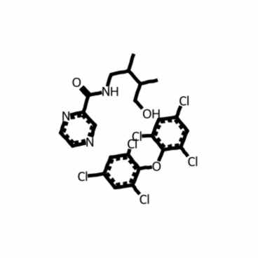 CC(CO)C(C)CNC(=O)c1cnccn1.Clc1cc(Cl)c(Oc2c(Cl)cc(Cl)cc2Cl)c(Cl)c1